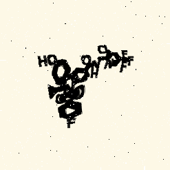 O=C(NCc1ncc(C(F)(F)F)cc1Cl)c1ccc2c(c1)C1(CCC(O)CC1)C(C1CC1)N2S(=O)(=O)c1ccc(F)cc1